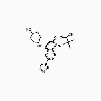 Cn1c(=O)cc(NC2CCC(O)CC2)c2cc(-c3cncs3)ccc21.O=C(O)C(F)(F)F